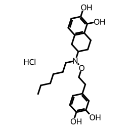 CCCCCCN(OCCc1ccc(O)c(O)c1)C1CCc2c(ccc(O)c2O)C1.Cl